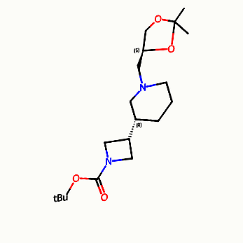 CC(C)(C)OC(=O)N1CC([C@H]2CCCN(C[C@H]3COC(C)(C)O3)C2)C1